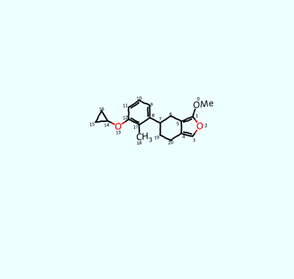 COc1occ2c1CC(c1cccc(OC3CC3)c1C)CC2